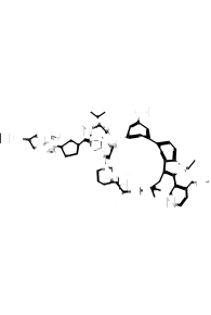 CCn1c(-c2cnccc2COC)c2c3cc(ccc31)-c1cc(O)cc(c1)C[C@H](NC(=O)[C@H](C(C)C)N(C)C(=O)C1CCC(S(=O)(=O)N3CC(O)C3)C1)C(=O)N1CCC[C@H](N1)C(=O)OCC(C)(C)C2